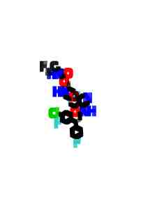 O=C(C[C@H](c1ccc(F)cc1)c1ccc(Cl)c(F)c1)Nc1cncc(F)c1CC[C@@H]1CN[C@H](COC(=O)NCC(F)(F)F)CO1